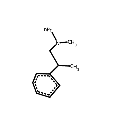 CCCN(C)CC(C)c1ccccc1